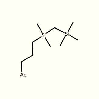 CC(=O)CCC[Si](C)(C)C[Si](C)(C)C